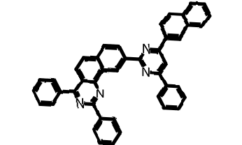 c1ccc(-c2cc(-c3ccc4ccccc4c3)nc(-c3ccc4ccc5c(-c6ccccc6)nc(-c6ccccc6)nc5c4c3)n2)cc1